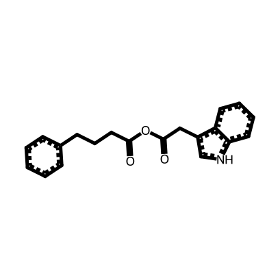 O=C(CCCc1ccccc1)OC(=O)Cc1c[nH]c2ccccc12